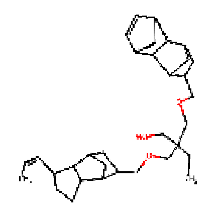 C/C=C\C1CCC2C3CC(CC3COCC(CC)(CO)COCC3CC4CC3C3C5C=CC(C5)C43)C12